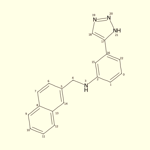 c1cc(NCc2ccc3ccccc3c2)cc(-c2cnn[nH]2)c1